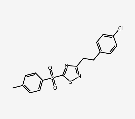 Cc1ccc(S(=O)(=O)c2nc(CCc3ccc(Cl)cc3)ns2)cc1